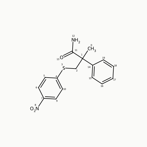 CC(CSc1ccc([N+](=O)[O-])cc1)(C(N)=O)c1ccccc1